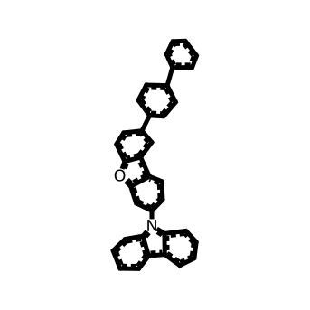 c1ccc(-c2ccc(-c3ccc4oc5cc(-n6c7ccccc7c7ccccc76)ccc5c4c3)cc2)cc1